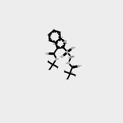 CC(C)(C)OC(=O)c1c(S(=O)(=O)NOC(=O)C(C)(C)C)oc2ccccc12